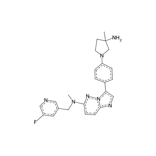 CN(Cc1cncc(F)c1)c1ccc2ncc(-c3ccc(N4CCC(C)(N)C4)cc3)n2n1